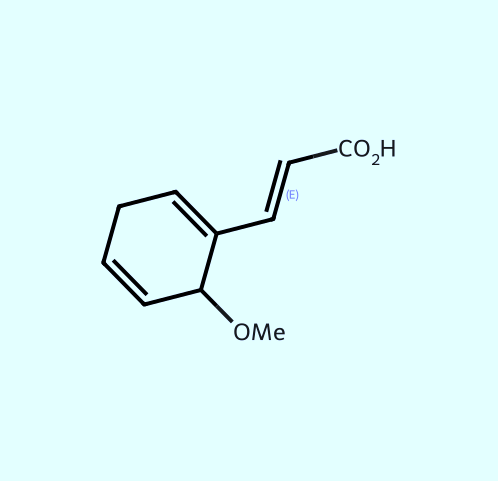 COC1C=CCC=C1/C=C/C(=O)O